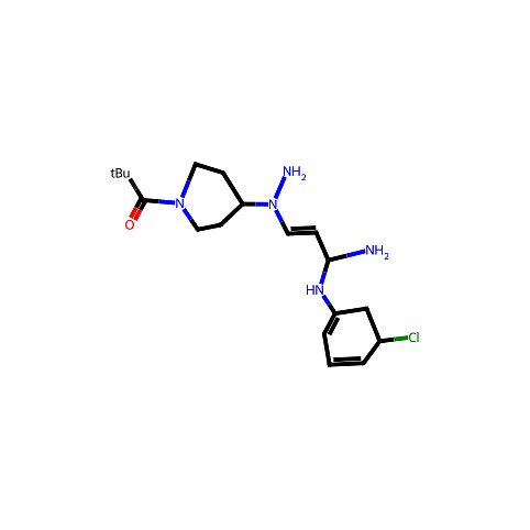 CC(C)(C)C(=O)N1CCC(N(N)/C=C/C(N)NC2=CC=CC(Cl)C2)CC1